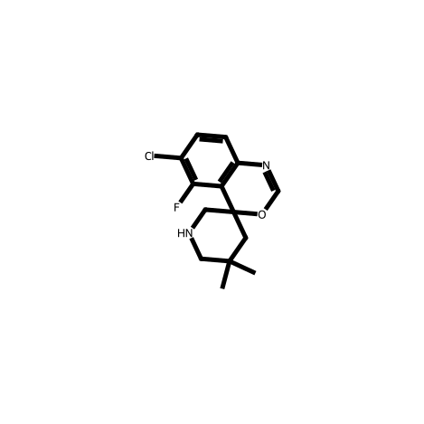 CC1(C)CNCC2(C1)OC=Nc1ccc(Cl)c(F)c12